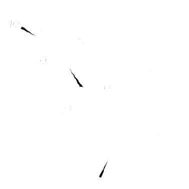 CC(C)C1CC[C@@H](C)CC1OC(=O)[C@H]1O[C@@H](O)CS1